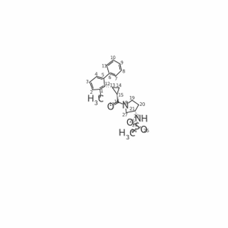 Cc1cccc(-c2ccccc2)c1[C@@H]1C[C@H]1C(=O)N1CC[C@H](NS(C)(=O)=O)C1